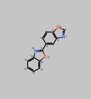 [c]1cc2ocnc2cc1-c1nc2ccccc2o1